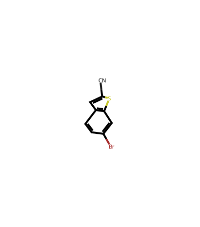 N#Cc1cc2ccc(Br)cc2s1